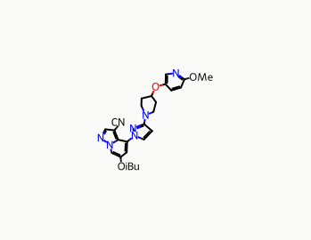 COc1ccc(OC2CCN(c3ccn(-c4cc(OCC(C)C)cn5ncc(C#N)c45)n3)CC2)cn1